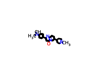 CN1CC=C(c2ccc3nc(-c4ccc(N(C)C)cc4)cc(=O)n3c2)CC1